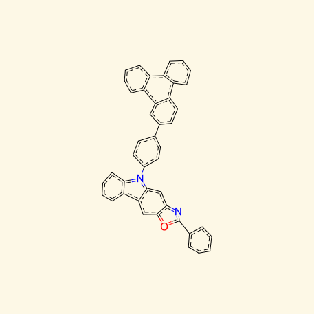 c1ccc(-c2nc3cc4c(cc3o2)c2ccccc2n4-c2ccc(-c3ccc4c5ccccc5c5ccccc5c4c3)cc2)cc1